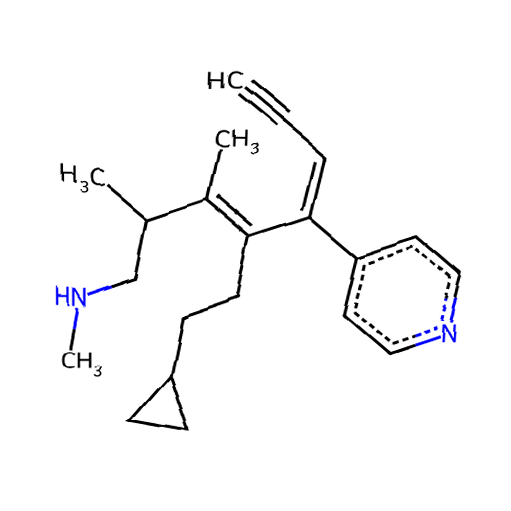 C#C/C=C(\C(CCC1CC1)=C(/C)C(C)CNC)c1ccncc1